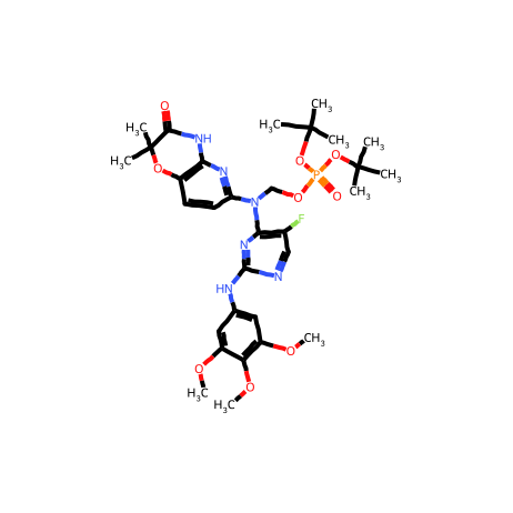 COc1cc(Nc2ncc(F)c(N(COP(=O)(OC(C)(C)C)OC(C)(C)C)c3ccc4c(n3)NC(=O)C(C)(C)O4)n2)cc(OC)c1OC